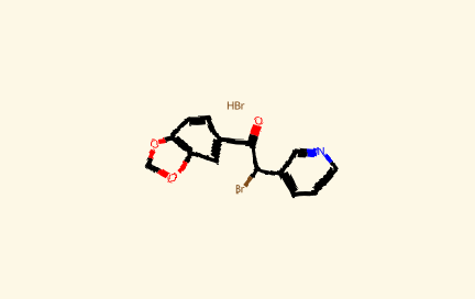 Br.O=C(c1ccc2c(c1)OCO2)C(Br)c1cccnc1